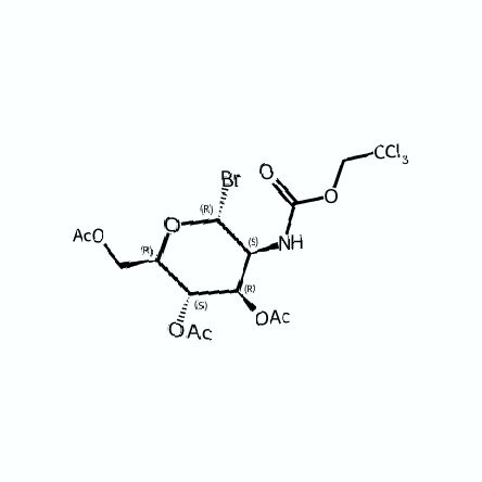 CC(=O)OC[C@H]1O[C@H](Br)[C@@H](NC(=O)OCC(Cl)(Cl)Cl)[C@@H](OC(C)=O)[C@@H]1OC(C)=O